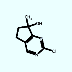 CC1(O)CCc2cnc(Cl)nc21